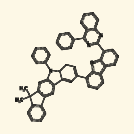 CC1(C)c2ccccc2-c2cc3c(cc21)N(c1ccccc1)C1CC=C(c2cccc4c2oc2c(-c5nc(-c6ccccc6)c6ccccc6n5)cccc24)C=C31